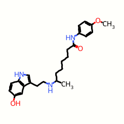 COc1ccc(NC(=O)CCCCCC(C)NCCc2c[nH]c3ccc(O)cc23)cc1